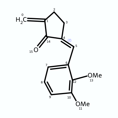 C=C1CC/C(=C/c2cccc(OC)c2OC)C1=O